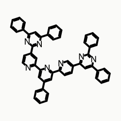 c1ccc(-c2cc(-c3ccc(-c4cc(-c5ccccc5)nc(-c5ccccc5)n4)cn3)nc(-c3cc(-c4nc(-c5ccccc5)cc(-c5ccccc5)n4)ccn3)c2)cc1